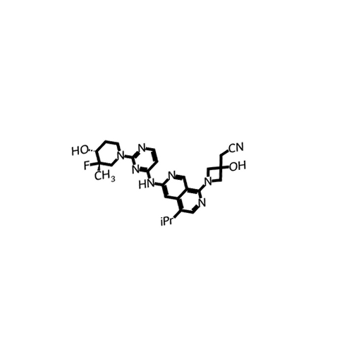 CC(C)c1cnc(N2CC(O)(CC#N)C2)c2cnc(Nc3ccnc(N4CC[C@@H](O)[C@@](C)(F)C4)n3)cc12